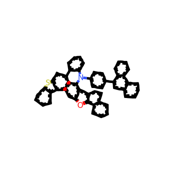 c1ccc(N(c2ccc(-c3cc4ccccc4c4ccccc34)cc2)c2cccc3oc4c5ccccc5ccc4c23)c(-c2ccc3c(c2)sc2ccccc23)c1